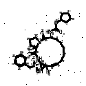 O=C(N[C@H]1CCCCC/C=C\[C@@H]2C[C@@]2(P(=O)(O)Cc2ccccc2)NC(=O)[C@@H]2CCCN2C1=O)OC1CCCC1